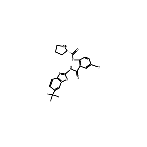 O=C(Nc1nc2ccc(C(F)(F)F)cc2s1)c1cc(Cl)ccc1OC(=O)[C@@H]1CCCN1